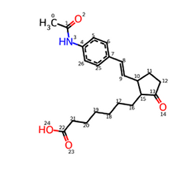 CC(=O)Nc1ccc(C=CC2CCC(=O)C2CCCCCCC(=O)O)cc1